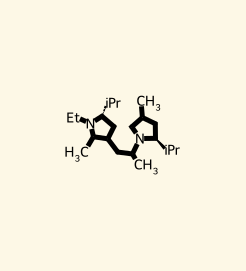 CCN1C(C)C(CC(C)N2CC(C)C[C@H]2C(C)C)C[C@H]1C(C)C